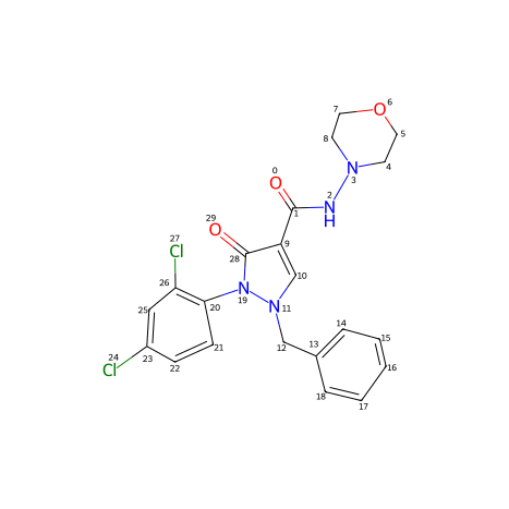 O=C(NN1CCOCC1)c1cn(Cc2ccccc2)n(-c2ccc(Cl)cc2Cl)c1=O